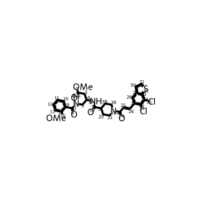 COC(=O)CC(CNC(=O)c1ccccc1OC)NC(=O)C1CCN(C(=O)C=Cc2cc3ccsc3c(Cl)c2Cl)CC1